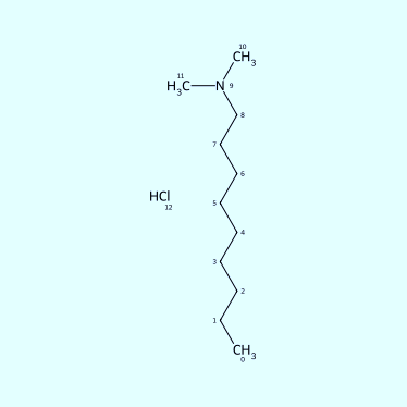 CCCCCCCCCN(C)C.Cl